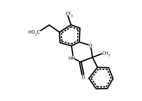 CC1(c2ccccc2)Oc2cc(C(F)(F)F)c(CC(=O)O)cc2NC1=O